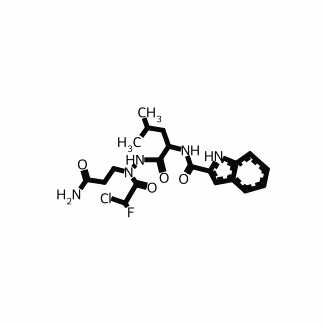 CC(C)CC(NC(=O)c1cc2ccccc2[nH]1)C(=O)NN(CCC(N)=O)C(=O)C(F)Cl